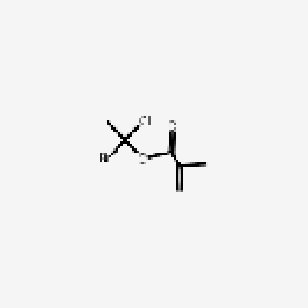 C=C(C)C(=O)OC(C)(Cl)Br